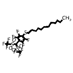 CCCCCCCCCCCCSc1c(F)c(F)c(C(S(=O)(=O)C(F)(F)F)S(=O)(=O)C(F)(F)F)c(F)c1F